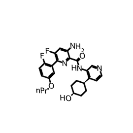 CCCOc1ccc(F)c(-c2nc(C(=O)Nc3cnccc3[C@H]3CC[C@@H](O)CC3)c(N)cc2F)c1